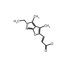 CCn1nc2oc(C=CC(=O)Cl)c(C)c2c1C